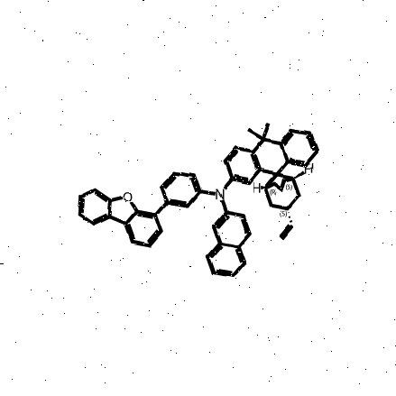 C=C[C@@H]1C[C@H]2CCC[C@@H](C1)C21c2ccccc2C(C)(C)c2ccc(N(c3cccc(-c4cccc5c4oc4ccccc45)c3)c3ccc4ccccc4c3)cc21